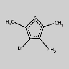 Cc1sc(C)c(Br)c1N